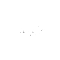 COCC1C(=O)OC1CNC(=O)CNC(=O)OC(C)(C)C